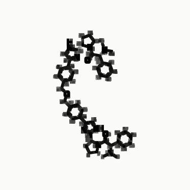 CN(C)C(C(=O)N1CCC[C@H]1c1nc(-c2ccc(COCc3ccc(-c4c[nH]c([C@@H]5CCCN5C(=O)[C@@H](c5ccccc5)N(C)C)n4)cc3)cc2)c[nH]1)c1ccccc1